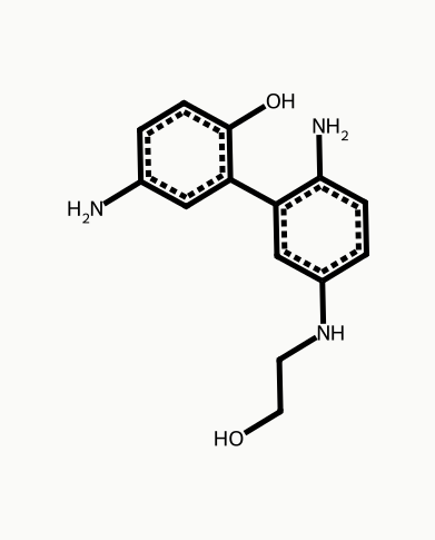 Nc1ccc(O)c(-c2cc(NCCO)ccc2N)c1